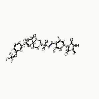 C=C1NC(=O)N(c2cc(C)c(/C=C/S(=O)(=O)N3CCC4(CC3)N=C(c3cccc(OC(F)(F)F)c3)NC4=O)c(C)c2)C1=O